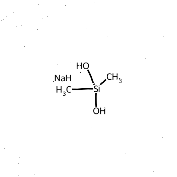 C[Si](C)(O)O.[NaH]